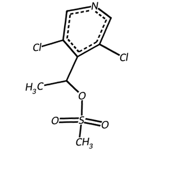 CC(OS(C)(=O)=O)c1c(Cl)cncc1Cl